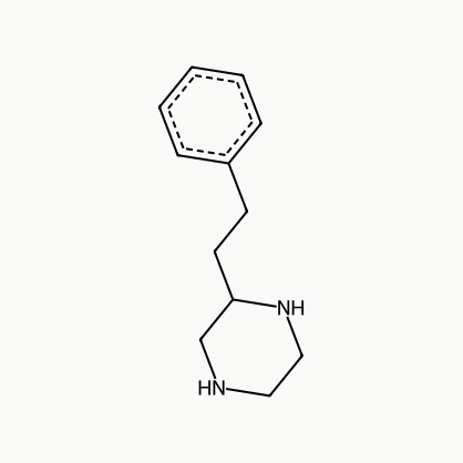 c1ccc(CCC2CNCCN2)cc1